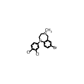 CN1CCN(c2ccc(Cl)c(Cl)c2)c2ccc(Br)cc2C1